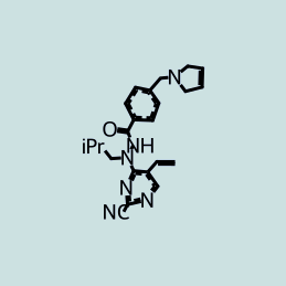 C=Cc1cnc(C#N)nc1N(CC(C)C)NC(=O)c1ccc(CN2CC=CC2)cc1